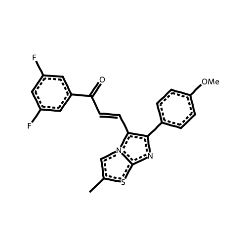 COc1ccc(-c2nc3sc(C)cn3c2C=CC(=O)c2cc(F)cc(F)c2)cc1